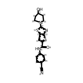 N#Cc1ccc(NC(=O)c2cc3sc(N4CCC(O)CC4)nc3s2)cc1